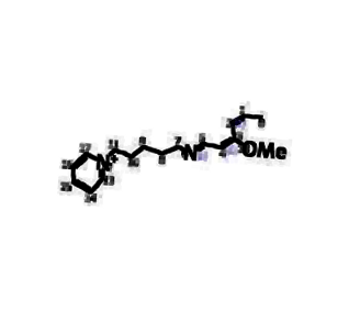 C\C=C/C(=C\C=N\CCCCC[n+]1ccccc1)OC